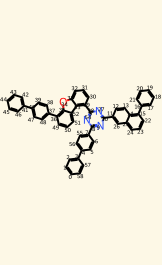 c1ccc(-c2ccc(-c3nc(-c4ccc5c(-c6ccccc6)cccc5c4)nc(-c4cccc5oc6c(-c7ccc(-c8ccccc8)cc7)cccc6c45)n3)cc2)cc1